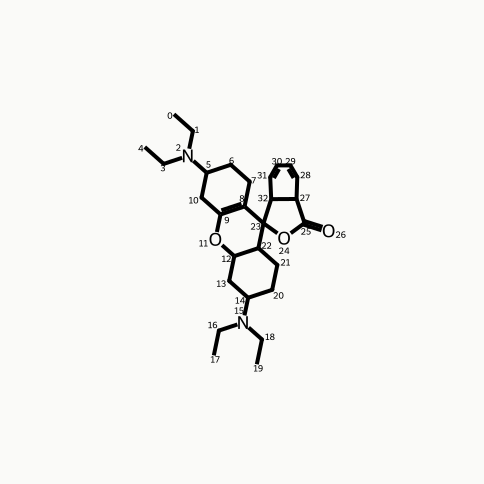 CCN(CC)C1CCC2=C(C1)OC1CC(N(CC)CC)CCC1C21OC(=O)C2C=CC=CC21